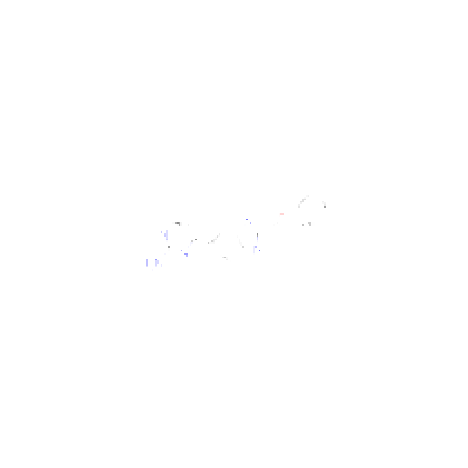 Nc1nccc(-c2ccc3nc(C4Cc5ccccc5O4)[nH]c3c2)n1